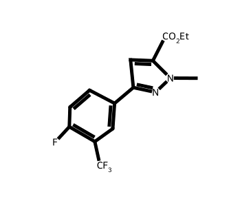 CCOC(=O)c1cc(-c2ccc(F)c(C(F)(F)F)c2)nn1C